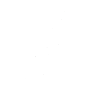 Clc1ccc(C[Se][Se]Cc2ccccc2)cc1